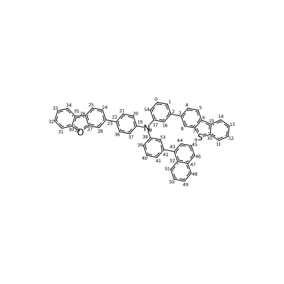 c1cc(-c2ccc3c(c2)sc2ccccc23)cc(N(c2ccc(-c3ccc4c(c3)oc3ccccc34)cc2)c2cccc(-c3cccc4ccccc34)c2)c1